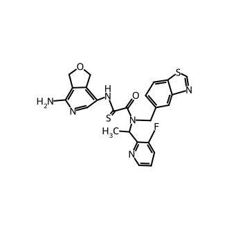 CC(c1ncccc1F)N(Cc1ccc2scnc2c1)C(=O)C(=S)Nc1cnc(N)c2c1COC2